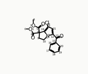 COC(=O)C1(C(=O)OC)CCn2c(C(=O)c3ccccc3)cc(Cl)c21